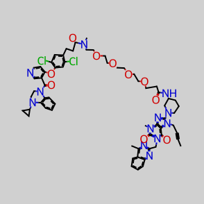 CC#CCn1c(N2CCC[C@@H](NC(=O)CCOCCOCCOCCOCCN(C)C(=O)CCc3cc(Cl)c(Oc4ccncc4C(=O)N4CCN(C5CC5)c5ccccc54)cc3Cl)C2)nc2c1c(=O)n(Cc1nc(C)c3ccccc3n1)c(=O)n2C